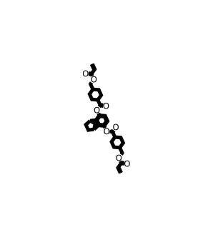 C=CC(=O)OCC1CCC(C(=O)Oc2ccc(OC(=O)C3CCC(COC(=O)C=C)CC3)c3c2C2CCC3C2)CC1